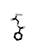 CC(=O)NC(=O)CSC(=O)c1ccccc1